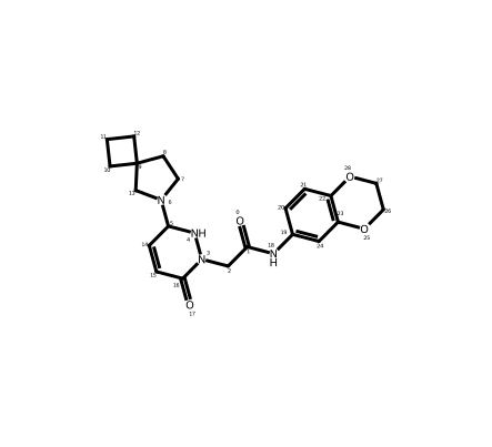 O=C(CN1NC(N2CCC3(CCC3)C2)C=CC1=O)Nc1ccc2c(c1)OCCO2